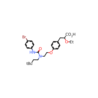 CCOC(Cc1ccc(OCCN(CCC(C)(C)C)C(=O)Nc2ccc(Br)cc2)cc1)C(=O)O